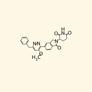 COc1cc(Cc2ccccc2)nnc1-c1ccc2c(c1)CN(C1CCC(=O)NC1=O)C2=O